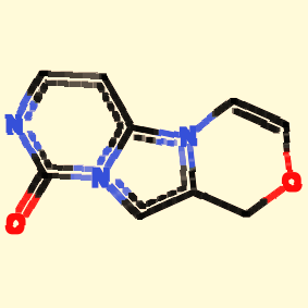 O=c1nccc2n3c(cn12)COC=C3